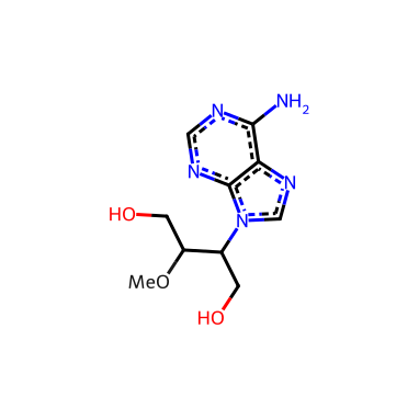 COC(CO)C(CO)n1cnc2c(N)ncnc21